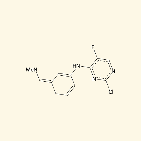 CNC=C1C=C(Nc2nc(Cl)ncc2F)C=CC1